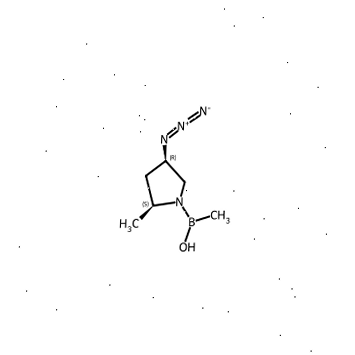 CB(O)N1C[C@H](N=[N+]=[N-])C[C@@H]1C